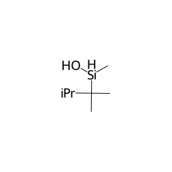 CC(C)C(C)(C)[SiH](C)O